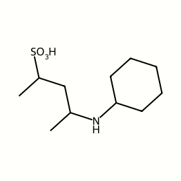 CC(CC(C)S(=O)(=O)O)NC1CCCCC1